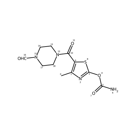 Cc1nc(OC(N)=O)sc1C(=O)N1CCN(C=O)CC1